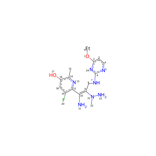 CCOc1ccnc(NC/C(=C(/N)c2nc(C)c(O)cc2F)N(C)N)n1